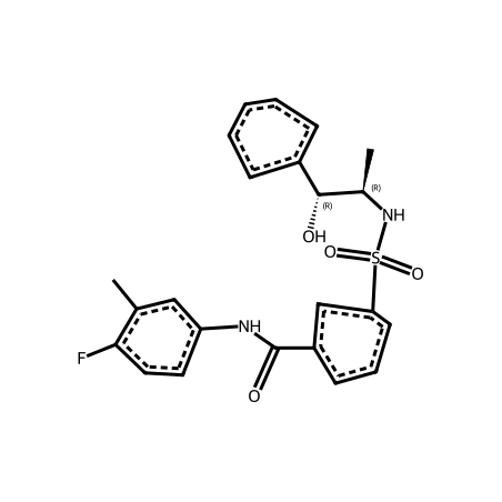 Cc1cc(NC(=O)c2cccc(S(=O)(=O)N[C@H](C)[C@H](O)c3ccccc3)c2)ccc1F